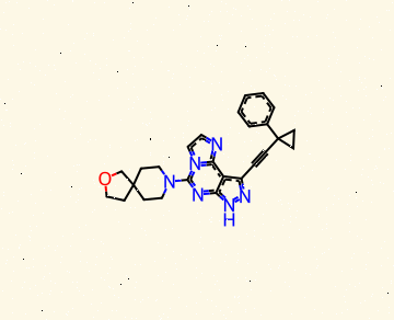 C(#CC1(c2ccccc2)CC1)c1n[nH]c2nc(N3CCC4(CCOC4)CC3)n3ccnc3c12